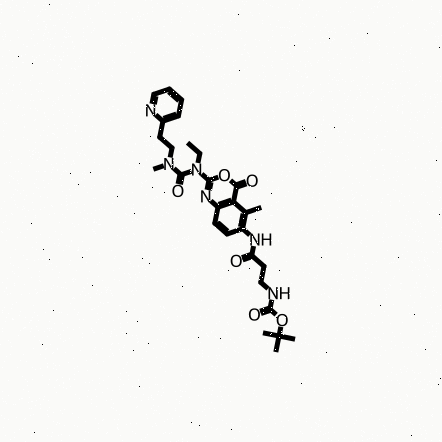 CCN(C(=O)N(C)CCc1ccccn1)c1nc2ccc(NC(=O)CCNC(=O)OC(C)(C)C)c(C)c2c(=O)o1